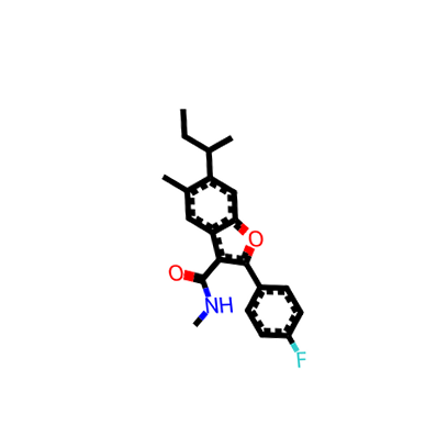 CCC(C)c1cc2oc(-c3ccc(F)cc3)c(C(=O)NC)c2cc1C